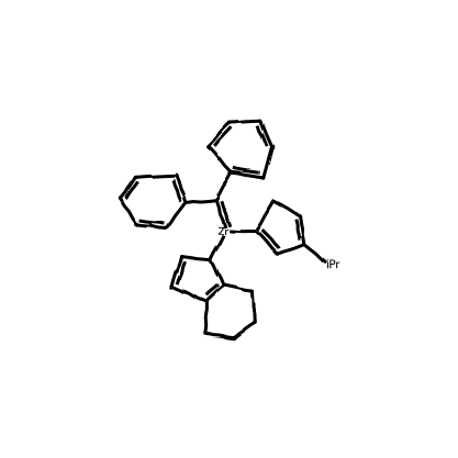 CC(C)C1=CC[C]([Zr](=[C](c2ccccc2)c2ccccc2)[CH]2C=CC3=C2CCCC3)=C1